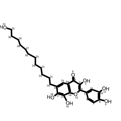 O=c1c(O)c(-c2ccc(O)c(O)c2)oc2c(O)c(O)c(CCCCCCCCCCCCO)cc12